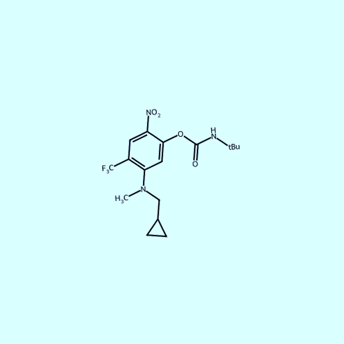 CN(CC1CC1)c1cc(OC(=O)NC(C)(C)C)c([N+](=O)[O-])cc1C(F)(F)F